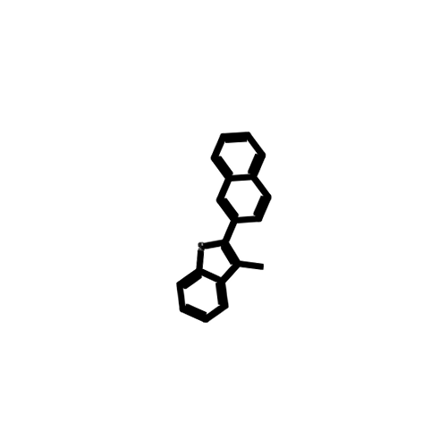 Cc1c(-c2ccc3ccccc3c2)sc2ccccc12